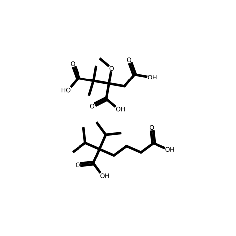 CC(C)C(CCCC(=O)O)(C(=O)O)C(C)C.COC(CC(=O)O)(C(=O)O)C(C)(C)C(=O)O